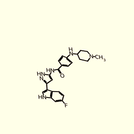 CN1CCC(Nc2ccc(C(=O)Nc3cc(-c4c[nH]c5cc(F)ccc45)n[nH]3)cc2)CC1